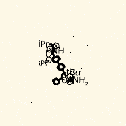 CC(C)CS(=O)(=O)NC(=O)c1ccc(-c2ccc(C(COC(N)=O)(C[C@@H](O)c3ccccc3)C(C)(C)C)cc2)cc1OC(C)C